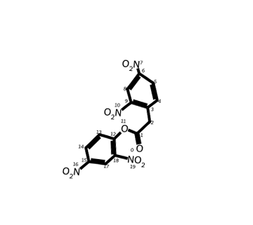 O=C(Cc1ccc([N+](=O)[O-])cc1[N+](=O)[O-])Oc1ccc([N+](=O)[O-])cc1[N+](=O)[O-]